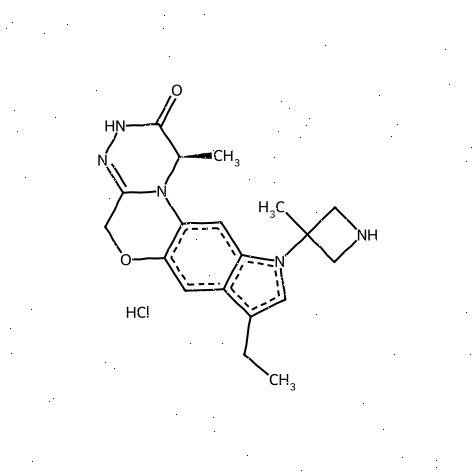 CCc1cn(C2(C)CNC2)c2cc3c(cc12)OCC1=NNC(=O)[C@@H](C)N13.Cl